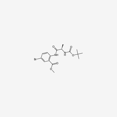 COC(=O)c1cc(Br)ccc1NC(=O)[C@@H](C)NC(=O)OC(C)(C)C